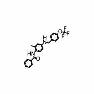 Cc1cc(NCc2ccc(OC(F)(F)F)cc2)ccc1NC(=O)c1ccccc1